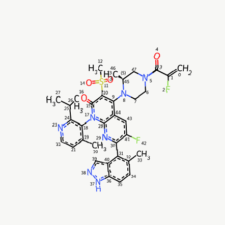 C=C(F)C(=O)N1CCN(c2c(S(C)(=O)=O)c(=O)n(-c3c(C)ccnc3C(C)C)c3nc(-c4c(C)ccc5[nH]ncc45)c(F)cc23)[C@@H](C)C1